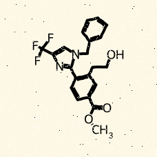 COC(=O)c1ccc(-c2nc(C(F)(F)F)cn2Cc2ccccc2)c(CCO)c1